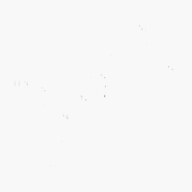 C[n+]1cccc(C(=C2CCNC2=O)C2=C(C(=O)[O-])N3C(=O)[C@@H](NC(=O)C(=NOC(C)(C)C(=O)O)c4csc(N)n4)[C@H]3CC2)c1